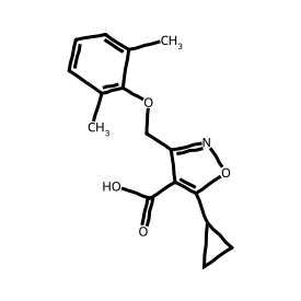 Cc1cccc(C)c1OCc1noc(C2CC2)c1C(=O)O